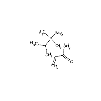 C=CC(N)=O.CC(C)C(C)(C)N